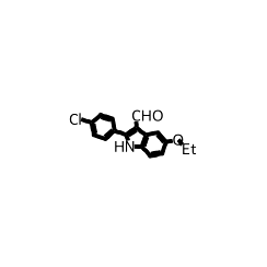 CCOc1ccc2[nH]c(-c3ccc(Cl)cc3)c(C=O)c2c1